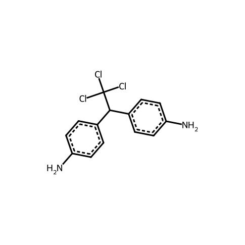 Nc1ccc(C(c2ccc(N)cc2)C(Cl)(Cl)Cl)cc1